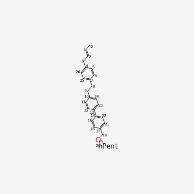 C/C=C/Cc1ccc(CCc2ccc(-c3ccc(COCCCCC)cc3)cc2)cc1